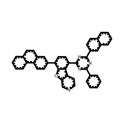 c1ccc(-c2nc(-c3ccc4ccccc4c3)nc(-c3ccc(-c4ccc5c(ccc6ccccc65)c4)c4oc5cnccc5c34)n2)cc1